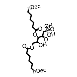 CCCCCCCCCCCCCCCC(=O)OCC(O)C(OC(=O)CCCCCCCCCCCCCCC)C(=O)CP(=O)(O)O